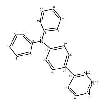 c1ccc(N(c2ccccc2)c2ccc(-c3ccnnn3)cc2)cc1